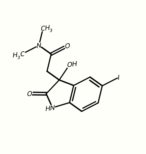 CN(C)C(=O)CC1(O)C(=O)Nc2ccc(I)cc21